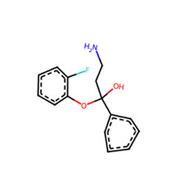 NCCC(O)(Oc1ccccc1F)c1ccccc1